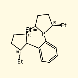 CC[C@@H]1CC[C@@H](CC)C1c1ccccc1P1[C@H](CC)CC[C@H]1CC